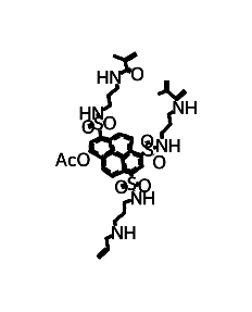 C=CCNCCCNS(=O)(=O)c1cc(S(=O)(=O)NCCCNC(=C)C(=C)C)c2ccc3c(S(=O)(=O)NCCCNC(=O)C(=C)C)cc(OC(C)=O)c4ccc1c2c43